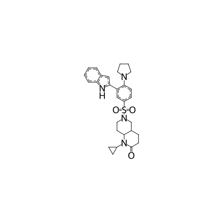 O=C1CCC2CN(S(=O)(=O)c3ccc(N4CCCC4)c(-c4cc5ccccc5[nH]4)c3)CCC2N1C1CC1